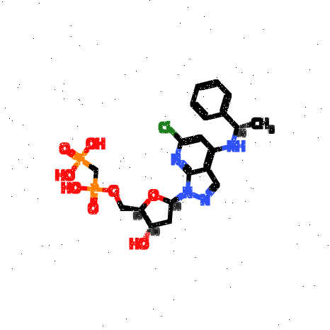 C[C@H](Nc1cc(Cl)nc2c1cnn2[C@H]1C[C@H](O)[C@@H](COP(=O)(O)CP(=O)(O)O)O1)c1ccccc1